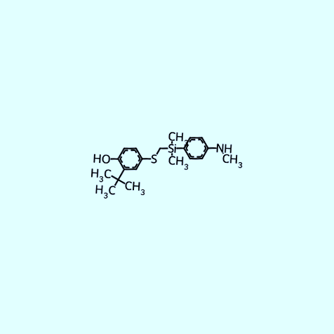 CNc1ccc([Si](C)(C)CSc2ccc(O)c(C(C)(C)C)c2)cc1